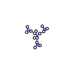 c1ccc(-n2c3ccccc3c3cc(-c4ccc(N(c5ccc(-c6ccc7c8ccccc8n(-c8ccccc8)c7c6)cc5)c5ccc(-c6ccc7c(c6)c6ccccc6n7-c6ccccc6)c6ccccc56)c5ccccc45)ccc32)cc1